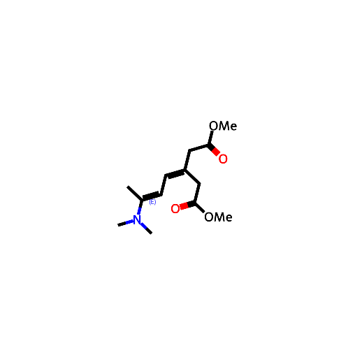 COC(=O)CC(=C/C=C(\C)N(C)C)CC(=O)OC